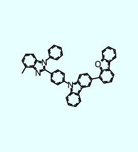 Cc1cccc2c1nc(-c1ccc(-n3c4ccccc4c4cc(-c5cccc6c5oc5ccccc56)ccc43)cc1)n2-c1ccccc1